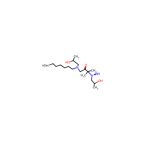 CCCCCCCCCCCCCCCCN(CC(=O)C(C)(C)[N+](=N)CC(C)O)CC(C)O